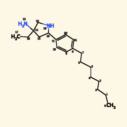 CCCCCCCCc1ccc(C2CC(N)(CC)CN2)cc1